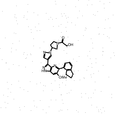 COc1cc2[nH]nc(-c3cnn(C4CCN(C(=O)CO)C4)c3)c2nc1-c1cccc2c1CCC2